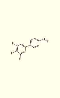 FOc1ccc(-c2cc(F)c(F)c(F)c2)cc1